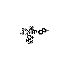 O=C(NC(CN1CCC1)C(O)c1cc(F)c2c(c1)OCCO2)C(F)(F)CCc1ccc2cc(F)ccc2c1